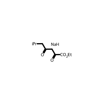 CCOC(=O)C(=O)CC(=O)CC(C)C.[NaH]